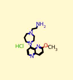 COc1ccc2nccc(N3CCCN(CCN)CC3)c2n1.Cl